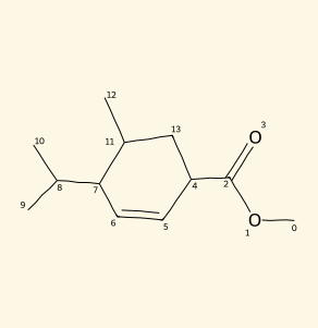 COC(=O)C1C=CC(C(C)C)C(C)C1